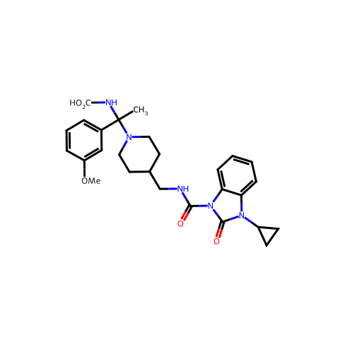 COc1cccc(C(C)(NC(=O)O)N2CCC(CNC(=O)n3c(=O)n(C4CC4)c4ccccc43)CC2)c1